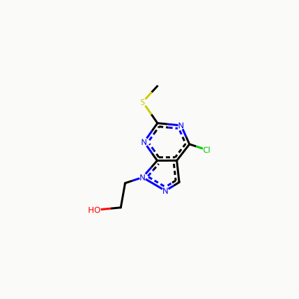 CSc1nc(Cl)c2cnn(CCO)c2n1